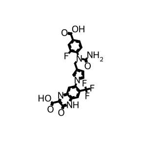 NC(=O)N(Cc1ccn(-c2cc3nc(C(=O)O)c(=O)[nH]c3cc2C(F)(F)F)c1)c1ccc(C(=O)O)cc1F